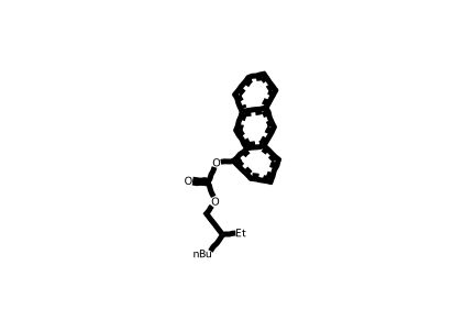 CCCCC(CC)COC(=O)Oc1cccc2cc3ccccc3cc12